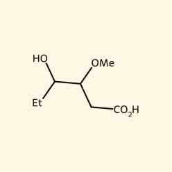 CCC(O)C(CC(=O)O)OC